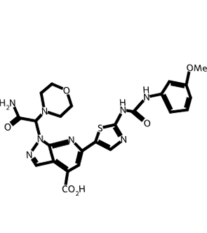 COc1cccc(NC(=O)Nc2ncc(-c3cc(C(=O)O)c4cnn(C(C(N)=O)N5CCOCC5)c4n3)s2)c1